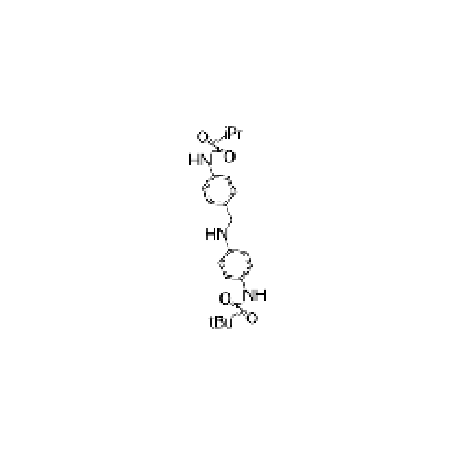 CC(C)S(=O)(=O)Nc1ccc(CNc2ccc(NS(=O)(=O)C(C)(C)C)cc2)cc1